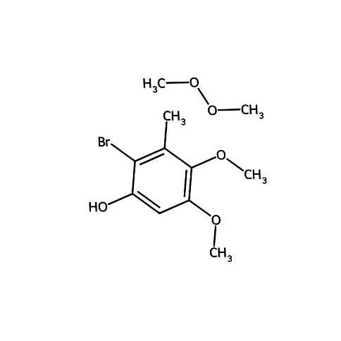 COOC.COc1cc(O)c(Br)c(C)c1OC